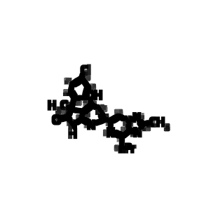 CCCc1nc(-c2nc(O)c3c(n2)NC(=O)C3(C)c2ccc(Cl)cc2)cn2nc(C)nc12